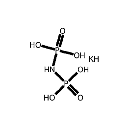 O=P(O)(O)NP(=O)(O)O.[KH]